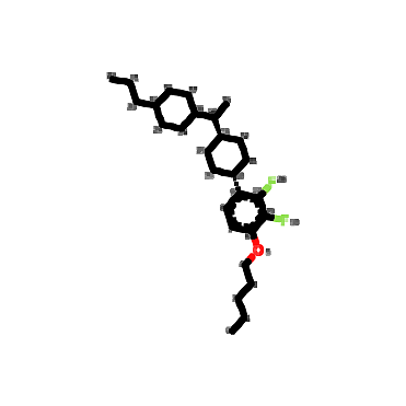 CCCCCOc1ccc([C@H]2CC[C@H](C(C)C3CCC(CCC)CC3)CC2)c(F)c1F